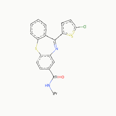 CC(C)NC(=O)c1ccc2c(c1)N=C(c1ccc(Cl)s1)c1ccccc1S2